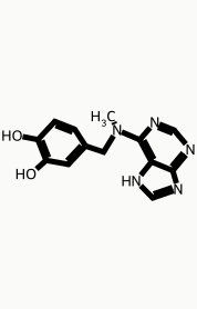 CN(Cc1ccc(O)c(O)c1)c1ncnc2nc[nH]c12